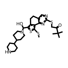 CSc1sc(C(O)N2CCC(C3CCNCC3)CC2)c2c1-c1nc(SCC(=O)C(C)(C)C)ncc1CC2